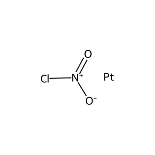 O=[N+]([O-])Cl.[Pt]